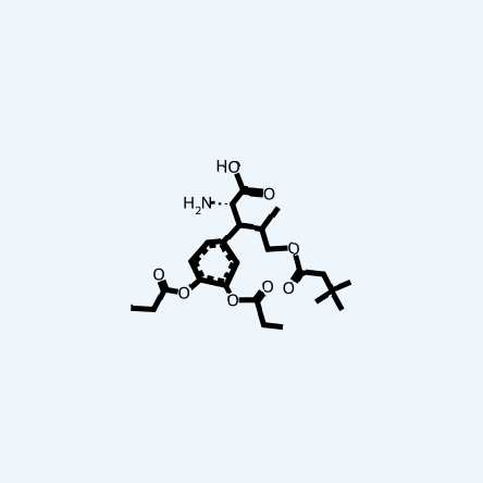 CCC(=O)Oc1ccc(C(C(C)COC(=O)CC(C)(C)C)[C@H](N)C(=O)O)cc1OC(=O)CC